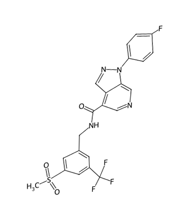 CS(=O)(=O)c1cc(CNC(=O)c2cncc3c2cnn3-c2ccc(F)cc2)cc(C(F)(F)F)c1